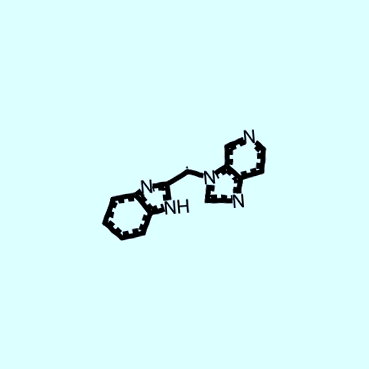 [CH](c1nc2ccccc2[nH]1)n1cnc2ccncc21